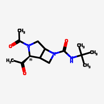 CC(=O)[C@@H]1C2CN(C(=O)NC(C)(C)C)C2CN1C(C)=O